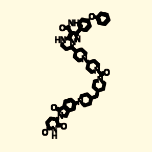 NC(=O)c1c(-c2ccc(Oc3ccccc3)cc2)nn2c1NCCC2C1CCN(C2CCN(C(=O)N3CCC(CC4CCN(c5ccc6c(c5)CN(C5CCC(=O)NC5=O)C6=O)CC4)CC3)CC2)CC1